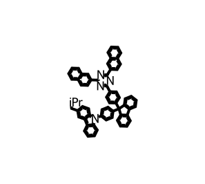 CC(C)Cc1ccc2c(c1)c1ccccc1n2-c1ccc(C2(c3ccc(-c4nc(-c5ccc6ccccc6c5)nc(-c5ccc6ccccc6c5)n4)cc3)c3ccccc3-c3ccccc32)cc1